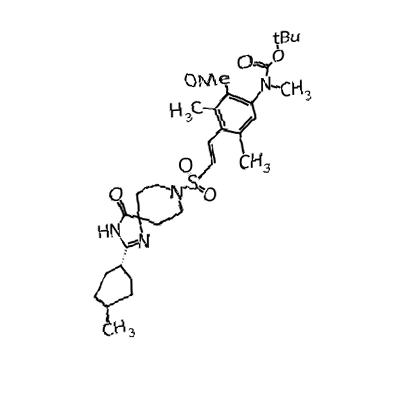 COc1c(N(C)C(=O)OC(C)(C)C)cc(C)c(/C=C/S(=O)(=O)N2CCC3(CC2)N=C([C@H]2CC[C@H](C)CC2)NC3=O)c1C